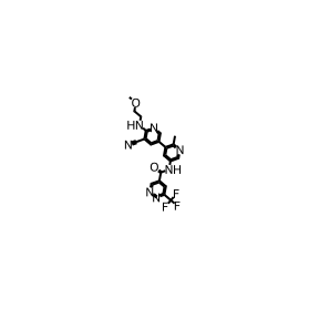 COCCNc1ncc(-c2cc(NC(=O)c3cnnc(C(F)(F)F)c3)cnc2C)cc1C#N